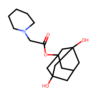 O=C(CN1CCCCC1)OC12CC3CC(O)(CC(O)(C3)C1)C2